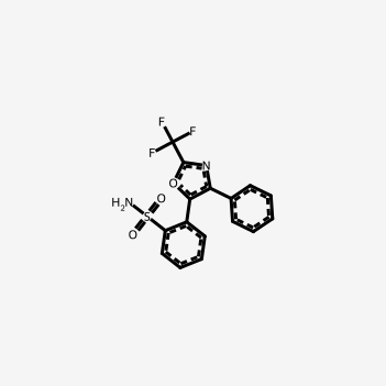 NS(=O)(=O)c1ccccc1-c1oc(C(F)(F)F)nc1-c1ccccc1